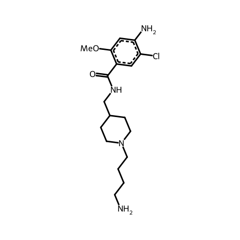 COc1cc(N)c(Cl)cc1C(=O)NCC1CCN(CCCCN)CC1